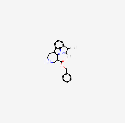 CC1c2cccc3c4c(n(c23)C1C)C(C(=O)OCc1ccccc1)CNCC4